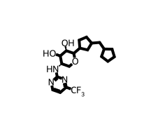 OC1[C@@H](O)C(C2CCC(CC3CCCC3)C2)OC[C@@H]1Nc1nccc(C(F)(F)F)n1